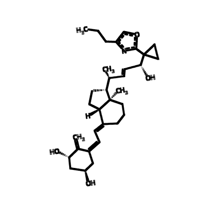 C=C1/C(=C\C=C2/CCC[C@]3(C)[C@@H]([C@H](C)/C=C/[C@@H](O)C4(c5nc(CCC)co5)CC4)CC[C@@H]23)C[C@@H](O)C[C@@H]1O